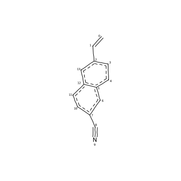 C=Cc1ccc2cc(C#N)ccc2c1